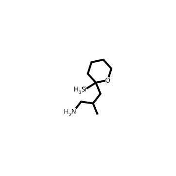 CC(CN)CC1([SiH3])CCCCO1